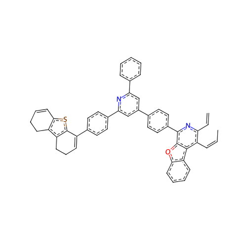 C=Cc1nc(-c2ccc(-c3cc(-c4ccccc4)nc(-c4ccc(C5=CCCc6c5sc5c6CCC=C5)cc4)c3)cc2)c2oc3ccccc3c2c1/C=C\C